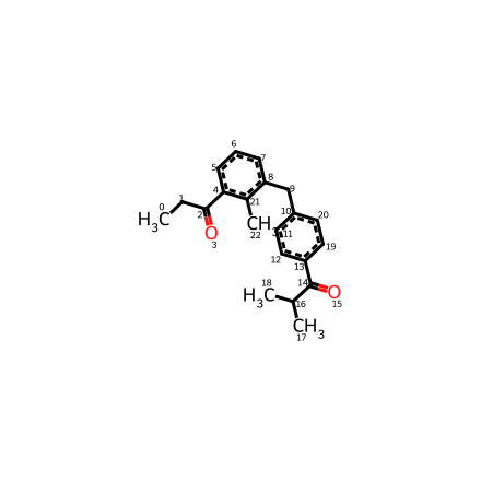 CCC(=O)c1cccc(Cc2ccc(C(=O)C(C)C)cc2)c1C